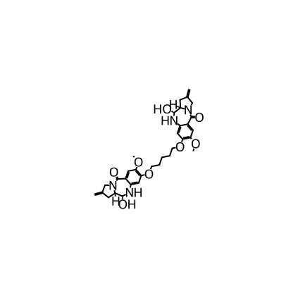 C=C1C[C@H]2[C@H](O)Nc3cc(OCCCCCOc4cc5c(cc4OC)C(=O)N4CC(=C)C[C@H]4[C@H](O)N5)c(OC)cc3C(=O)N2C1